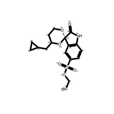 CC(C)(C)COS(=O)(=O)c1ccc2c(c1)[C@]1(OCCC(CC3CC3)O1)C(=O)N2